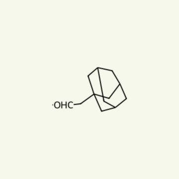 O=[C]CC12CC3CC(CC(C3)C1)C2